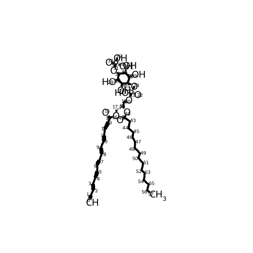 C#CC#CC#CC#CC#CC#CC#CC(=O)OC[C@H](COP(=O)(O)OC1C(O)[C@@H](O)C(OP(=O)(O)O)[C@@H](O)[C@H]1O)OC(=O)CCCCCCCCCCCCCCC